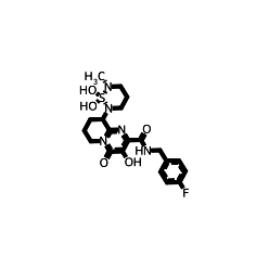 CN1CCCN(C2CCCn3c2nc(C(=O)NCc2ccc(F)cc2)c(O)c3=O)S1(O)O